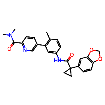 Cc1ccc(NC(=O)C2(c3ccc4c(c3)OCO4)CC2)cc1-c1ccc(C(=O)N(C)C)nc1